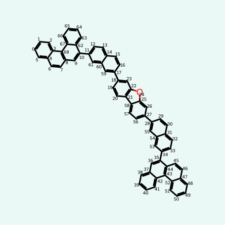 c1ccc2c(c1)ccc1cc(-c3ccc4ccc(-c5ccc6c(c5)oc5cc(-c7ccc8ccc(-c9cc%10ccccc%10c%10c9ccc9ccccc9%10)cc8c7)ccc56)cc4c3)c3ccccc3c12